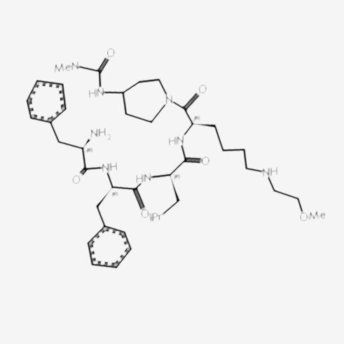 CNC(=O)NC1CCN(C(=O)[C@@H](CCCCNCCOC)NC(=O)[C@@H](CC(C)C)NC(=O)[C@@H](Cc2ccccc2)NC(=O)[C@H](N)Cc2ccccc2)CC1